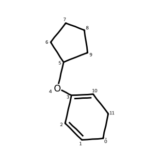 [CH]1C=CC(OC2CCCC2)=CC1